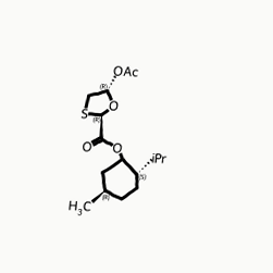 CC(=O)O[C@H]1CS[C@H](C(=O)OC2C[C@H](C)CC[C@H]2C(C)C)O1